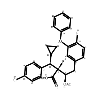 COC(=O)[C@@](F)([C@@H](Cc1ccc(F)c(Oc2ccccc2)c1)OC(C)=O)[C@@H](c1ccc(Cl)cc1)C1CC1